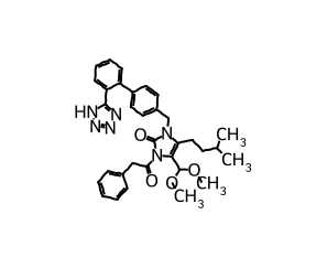 COC(OC)c1c(CCC(C)C)n(Cc2ccc(-c3ccccc3-c3nnn[nH]3)cc2)c(=O)n1C(=O)Cc1ccccc1